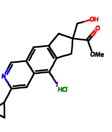 COC(=O)C1(CO)Cc2cc3cnc(C4CC4)cc3c(I)c2C1.Cl